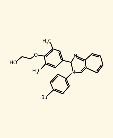 CCC(C)c1ccc(N2C=c3ccccc3=NC2c2cc(C)c(OCCO)c(C)c2)cc1